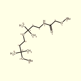 CC(C)(C)OCC(=O)NCCC(C)(C)OCCC(C)(C)OC(C)(C)C